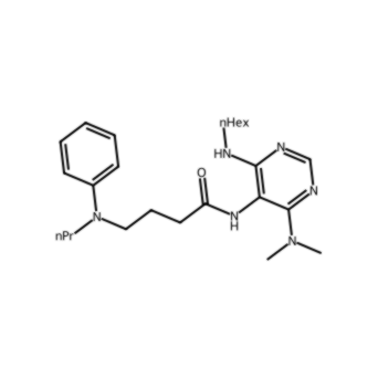 CCCCCCNc1ncnc(N(C)C)c1NC(=O)CCCN(CCC)c1ccccc1